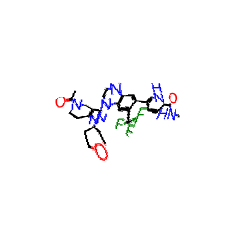 CNC(=O)C1C=CC(c2cc3c(cc2C(F)(F)F)N(c2nn(C4CCOCC4)c4c2CN(C(C)=O)CC4)CCN3C)=CN1